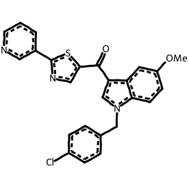 COc1ccc2c(c1)c(C(=O)c1cnc(-c3cccnc3)s1)cn2Cc1ccc(Cl)cc1